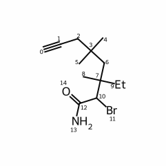 C#CCC(C)(C)CC(C)(CC)C(Br)C(N)=O